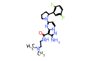 CN(C)CCNC(=O)c1c(N)nn2ccc(N3CCCC3c3cc(F)ccc3F)nc12